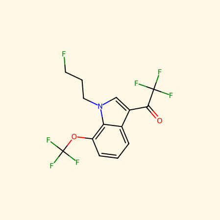 O=C(c1cn(CCCF)c2c(OC(F)(F)F)cccc12)C(F)(F)F